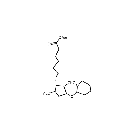 COC(=O)CCCCCC[C@H]1C(OC(C)=O)C[C@@H](OC2CCCCO2)[C@@H]1C=O